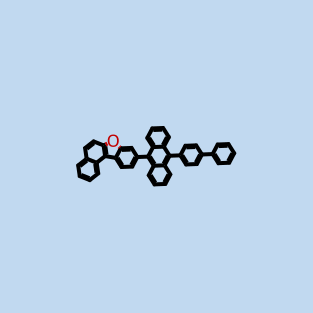 c1ccc(-c2ccc(-c3c4ccccc4c(-c4ccc5c(c4)oc4ccc6ccccc6c45)c4ccccc34)cc2)cc1